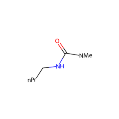 [CH2]CCCNC(=O)NC